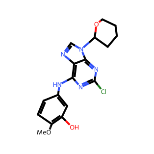 COc1ccc(Nc2nc(Cl)nc3c2ncn3C2CCCCO2)cc1O